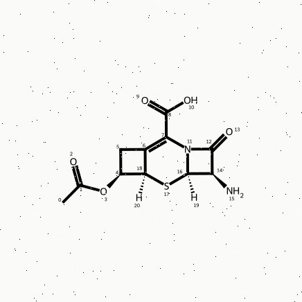 CC(=O)O[C@H]1CC2=C(C(=O)O)N3C(=O)[C@@H](N)[C@H]3S[C@H]21